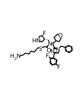 NCCCCCCSCC(=O)N(C[C@@H]1CNC[C@@H]1F)[C@@H](c1nc(-c2cc(F)ccc2F)cn1Cc1ccccc1)C1CCOCC1